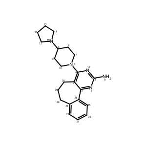 Nc1nc2c(c(N3CCC(N4CCCC4)CC3)n1)CCCc1ccccc1-2